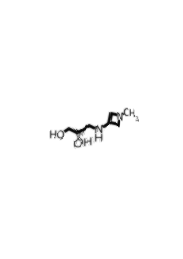 CN1CC(NC[C@H](O)CO)C1